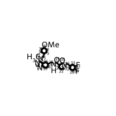 COc1ccc(CN(C)c2ncnc3ccc(CNC(=O)c4cccn(Cc5ccc(F)c(F)c5)c4=O)cc23)cc1